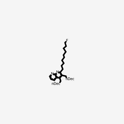 CCCCCCCCCCCc1c(CCCCCCCCCCF)nc2ncccc2c1CCCCCCCCCCC